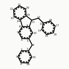 c1ccc(Cc2ccc3c(c2)C(Cc2ccccc2)c2ccccc2-3)cc1